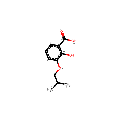 CC(C)COc1cccc(C(=O)O)c1O